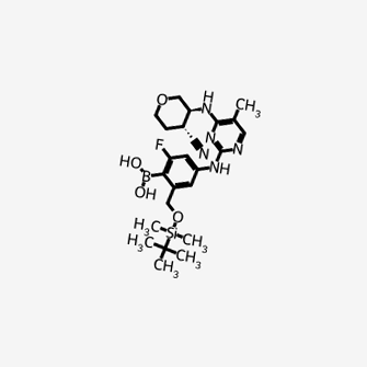 Cc1cnc(Nc2cc(F)c(B(O)O)c(CO[Si](C)(C)C(C)(C)C)c2)nc1N[C@@H]1COCC[C@H]1C#N